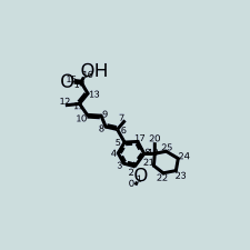 COc1ccc(C(C)=CC=CC(C)=CC(=O)O)cc1C1(C)CCCCC1